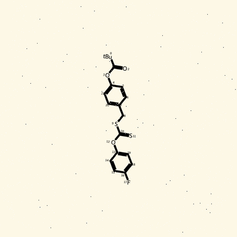 CC(C)(C)C(=O)Oc1ccc(CSC(=S)Oc2ccc(F)cc2)cc1